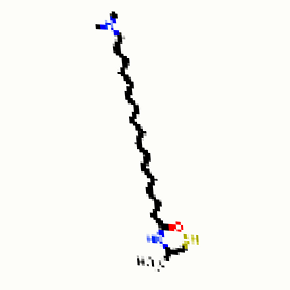 CN(C)CCCCCCCCCCCCCCCCC(=O)NC(CS)C(=O)O